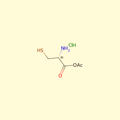 CC(=O)OC(=O)[C@@H](N)CS.Cl